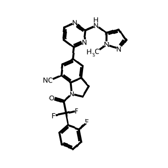 Cn1nccc1Nc1nccc(-c2cc(C#N)c3c(c2)CCN3C(=O)C(F)(F)c2ccccc2F)n1